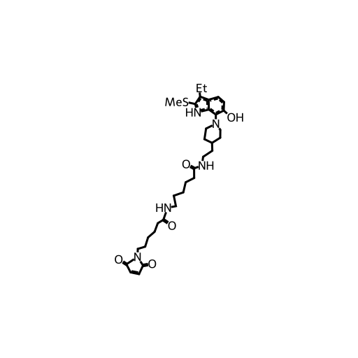 CCc1c(SC)[nH]c2c(N3CCC(CCNC(=O)CCCCCNC(=O)CCCCCN4C(=O)C=CC4=O)CC3)c(O)ccc12